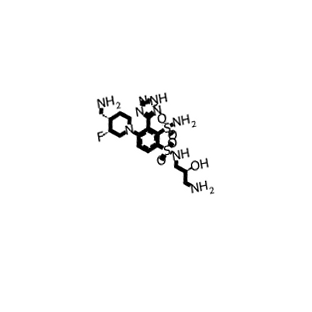 NC[C@@H](O)CNS(=O)(=O)c1ccc(N2CC[C@@H](CN)[C@@H](F)C2)c(-c2nn[nH]n2)c1S(N)(=O)=O